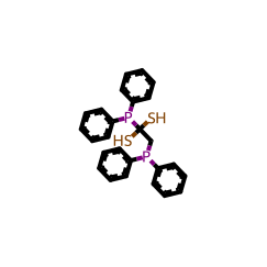 SC(S)(CP(c1ccccc1)c1ccccc1)P(c1ccccc1)c1ccccc1